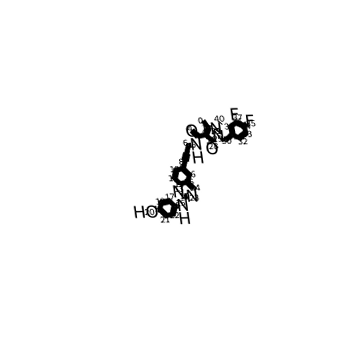 Cc1c(C(=O)NCC#Cc2ccc3nc(Nc4ccc(O)cc4)ncc3c2)c(=O)n(Cc2ccc(F)c(F)c2)n1C